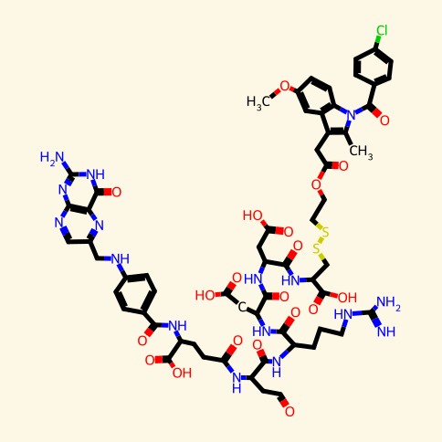 COc1ccc2c(c1)c(CC(=O)OCCSSCC(NC(=O)C(CC(=O)O)NC(=O)C(CC(=O)O)NC(=O)C(CCCNC(=N)N)NC(=O)C(CC=O)NC(=O)CCC(NC(=O)c1ccc(NCc3cnc4nc(N)[nH]c(=O)c4n3)cc1)C(=O)O)C(=O)O)c(C)n2C(=O)c1ccc(Cl)cc1